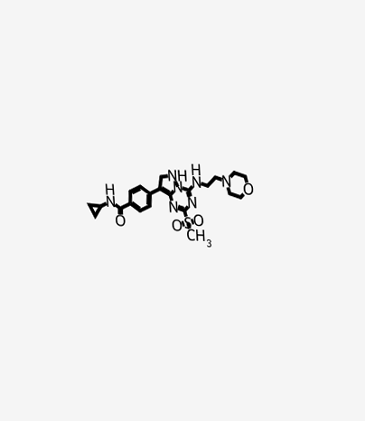 CS(=O)(=O)C1=NC2=C(c3ccc(C(=O)NC4CC4)cc3)CNN2C(NCCN2CCOCC2)=N1